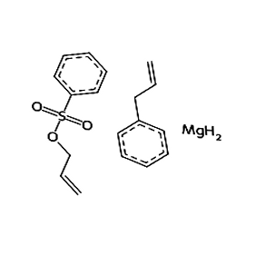 C=CCOS(=O)(=O)c1ccccc1.C=CCc1ccccc1.[MgH2]